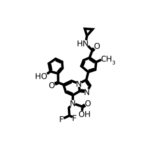 Cc1cc(-c2cnc3c(N(CC(F)F)C(=O)O)cc(C(=O)c4ccccc4O)cn23)ccc1C(=O)NC1CC1